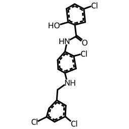 O=C(Nc1ccc(NCc2cc(Cl)cc(Cl)c2)cc1Cl)c1cc(Cl)ccc1O